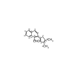 CC1=C(C)CC(c2ccc3ccccc3c2C=O)=C1